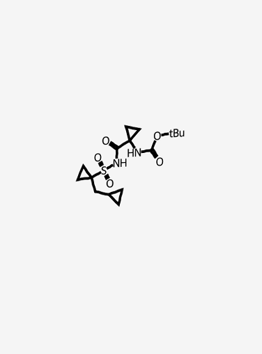 CC(C)(C)OC(=O)NC1(C(=O)NS(=O)(=O)C2(CC3CC3)CC2)CC1